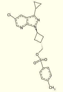 Cc1ccc(S(=O)(=O)OC[C@H]2C[C@H](n3nc(C4CC4)c4cc(Cl)cnc43)C2)cc1